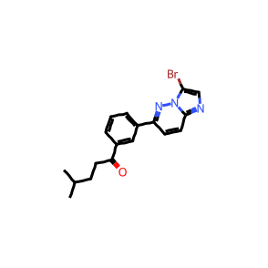 CC(C)CCC(=O)c1cccc(-c2ccc3ncc(Br)n3n2)c1